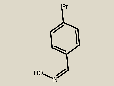 CC(C)c1ccc(/C=N\O)cc1